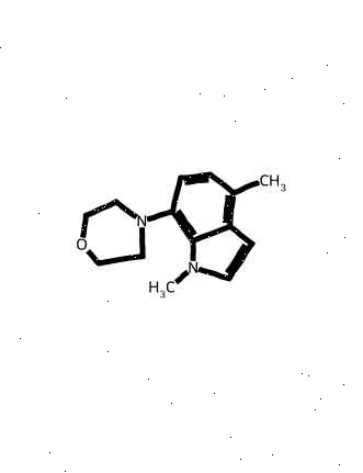 Cc1ccc(N2CCOCC2)c2c1ccn2C